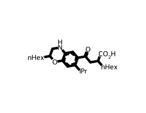 CCCCCCC1CNc2cc(C(=O)CC(CCCCCC)C(=O)O)c(C(C)C)cc2O1